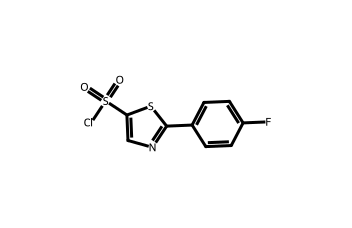 O=S(=O)(Cl)c1cnc(-c2ccc(F)cc2)s1